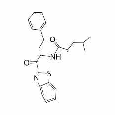 CC(C)C[CH]C(=O)N[C@@H](CCc1ccccc1)C(=O)c1nc2ccccc2s1